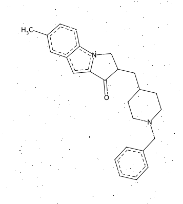 Cc1ccc2c(c1)cc1n2CC(CC2CCN(Cc3ccccc3)CC2)C1=O